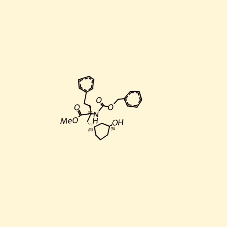 COC(=O)[C@@](CCc1ccccc1)(C[C@H]1CCC[C@H](O)C1)NC(=O)OCc1ccccc1